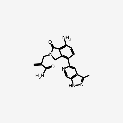 C=C(CN1Cc2c(-c3cc4c(C)n[nH]c4cn3)ccc(N)c2C1=O)C(N)=O